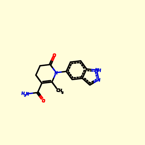 CC1=C(C(N)=O)CCC(=O)N1c1ccc2[nH]ncc2c1